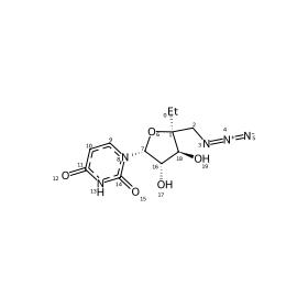 CC[C@@]1(CN=[N+]=[N-])O[C@@H](n2ccc(=O)[nH]c2=O)[C@@H](O)[C@@H]1O